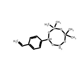 C=Cc1ccc([SiH]2O[SiH2]O[Si](C)(C)O[Si](C)(C)O2)cc1